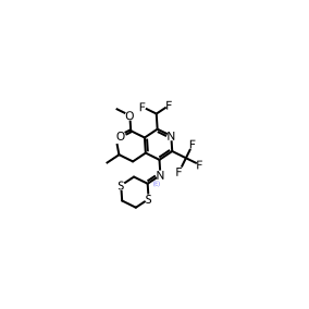 COC(=O)c1c(C(F)F)nc(C(F)(F)F)c(/N=C2\CSCCS2)c1CC(C)C